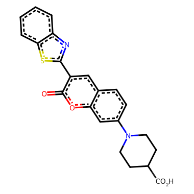 O=C(O)C1CCN(c2ccc3cc(-c4nc5ccccc5s4)c(=O)oc3c2)CC1